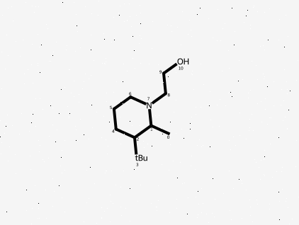 CC1C(C(C)(C)C)CCCN1CCO